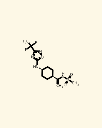 C=C(NS(C)(=O)=O)[C@H]1CC[C@H](Nc2nc(C(F)(F)C(F)(F)F)no2)CC1